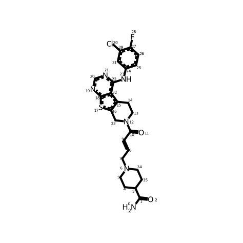 NC(=O)C1CCN(C/C=C/C(=O)N2CCc3c(sc4ncnc(Nc5ccc(F)c(Cl)c5)c34)C2)CC1